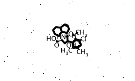 Cc1cc(Cl)c2c(c1C)[C@]1(O)C[C@@H](C(=O)O)N[C@]1(C1CC=CC3CCCCC31)ON2C